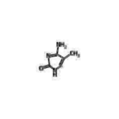 Cc1[c][nH]c(=O)nc1N